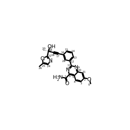 COc1ccc2c(C(N)=O)nc(-c3cccc(C#C[C@](C)(O)c4ncc(C)o4)c3)nc2c1